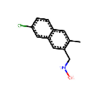 Cc1cc2ccc(Cl)cc2cc1CNO